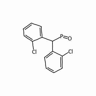 O=PC(c1ccccc1Cl)c1ccccc1Cl